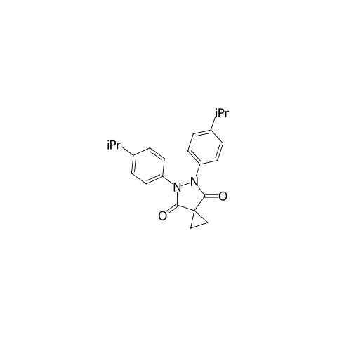 CC(C)c1ccc(N2C(=O)C3(CC3)C(=O)N2c2ccc(C(C)C)cc2)cc1